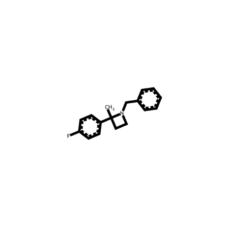 CC1(c2ccc(F)cc2)CCN1Cc1ccccc1